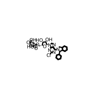 O=P(O)(O)CP(=O)(O)OC[C@H]1O[C@@H](n2cnc3c(N4Cc5ccccc5C4c4ccccc4)nc(Cl)nc32)[C@@H](O)C1O